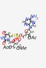 COC[C@@H](OP(=O)(S)OC[C@H]1O[C@@H](n2cnc3c(N)ncnc32)C[C@H]1OC(C)=O)[C@@H](COC(C)=O)OCn1ccc(=O)[nH]c1=O